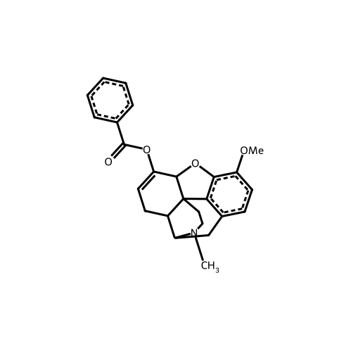 COc1ccc2c3c1OC1C(OC(=O)c4ccccc4)=CCC4C(C2)N(C)CCC314